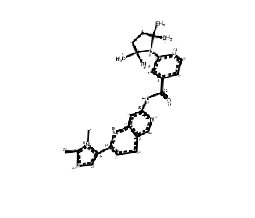 BC1(B)CCC(B)(B)N1c1cc(C(=O)Nc2cc3nc(-c4cnc(C)n4C)ccc3cn2)ccn1